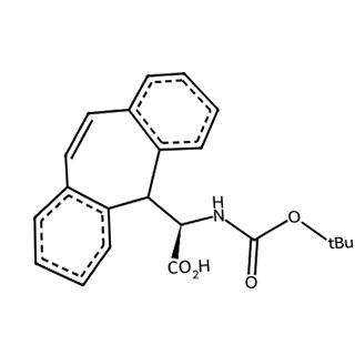 CC(C)(C)OC(=O)N[C@@H](C(=O)O)C1c2ccccc2C=Cc2ccccc21